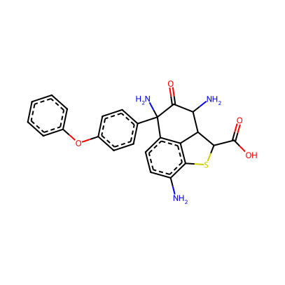 Nc1ccc2c3c1SC(C(=O)O)C3C(N)C(=O)C2(N)c1ccc(Oc2ccccc2)cc1